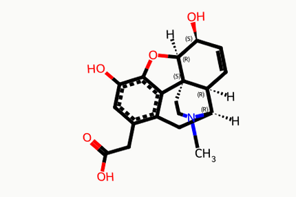 CN1CC[C@]23c4c5c(CC(=O)O)cc(O)c4O[C@H]2[C@@H](O)C=C[C@H]3[C@H]1C5